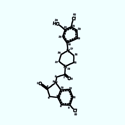 O=C(CN1C(=O)Cc2cc(Cl)ccc21)N1CCN(c2ccc(Cl)c(O)c2)CC1